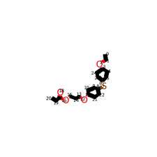 C=COc1ccc(Sc2ccc(OCCCOC(=O)C=C)cc2)cc1